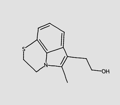 Cc1c(CCO)c2cccc3c2n1CCS3